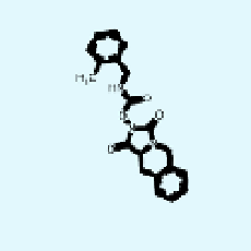 Cc1ccccc1CNC(=O)ON1C(=O)C2Cc3ccccc3CN2C1=O